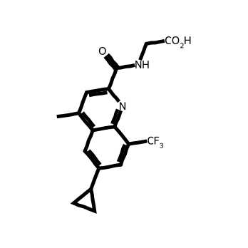 Cc1cc(C(=O)NCC(=O)O)nc2c(C(F)(F)F)cc(C3CC3)cc12